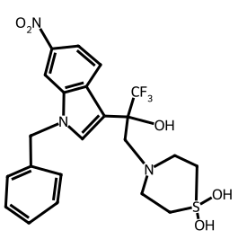 O=[N+]([O-])c1ccc2c(C(O)(CN3CCS(O)(O)CC3)C(F)(F)F)cn(Cc3ccccc3)c2c1